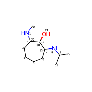 CN[C@H]1CCCC[C@H](NC(C)C)[C@@H]1O